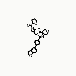 O=C([C@H]1CCCO1)N1CC(CN2C(=O)C3(CCOCC3)N=C2c2ccc(-c3ccc4occc4c3)cc2)C1